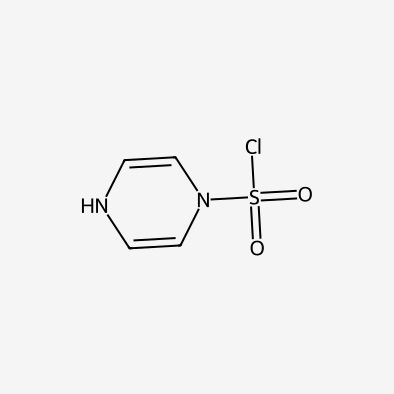 O=S(=O)(Cl)N1C=CNC=C1